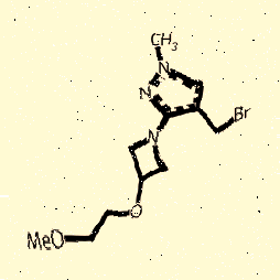 COCCOC1CN(c2nn(C)cc2CBr)C1